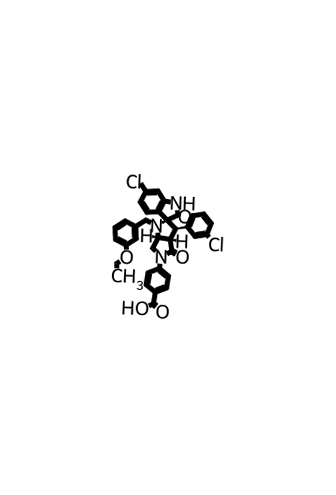 CCOc1cccc(CN2[C@H]3CN(c4ccc(C(=O)O)cc4)C(=O)[C@H]3[C@H](c3cccc(Cl)c3)[C@]23C(=O)Nc2cc(Cl)ccc23)c1